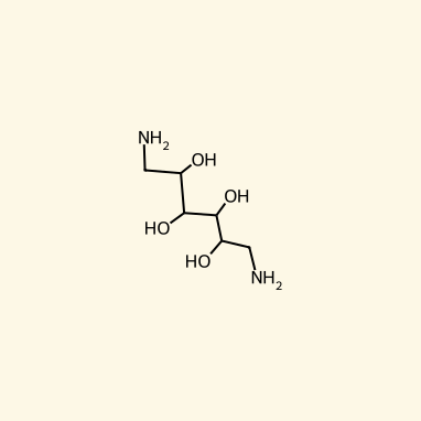 NCC(O)C(O)C(O)C(O)CN